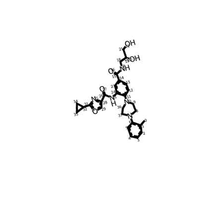 Cc1ccccc1N1CCN(c2ccc(C(=O)NC[C@H](O)CO)cc2NC(=O)c2coc(C3CC3)n2)CC1